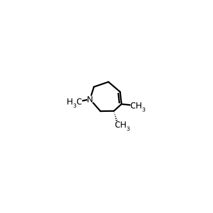 CC1=CCCN(C)C[C@H]1C